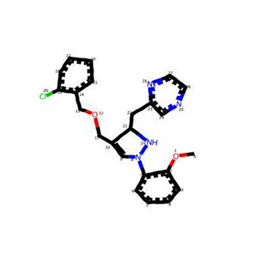 COc1ccccc1N1C=C(COCc2ccccc2Cl)C(Cc2cnccn2)N1